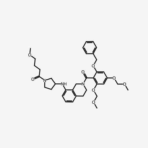 COCCCC(=O)N1CCC(Nc2cccc3c2CN(C(=O)c2c(OCOC)cc(OCOC)cc2OCc2ccccc2)CC3)C1